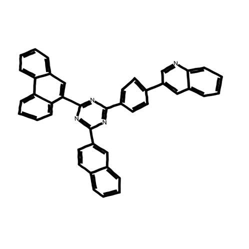 c1ccc2cc(-c3nc(-c4ccc(-c5cnc6ccccc6c5)cc4)nc(-c4cc5ccccc5c5ccccc45)n3)ccc2c1